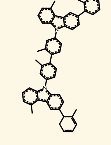 CC1=CC=CCC1c1ccc2c(c1)c1c(C)cccc1n2-c1ccc(-c2ccc(-n3c4ccc(-c5ccccc5C)cc4c4c(C)cccc43)cc2C)c(C)c1